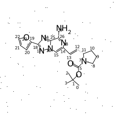 CC(C)(C)OC(=O)N1CCC[C@H]1/C=C/c1cn2nc(-c3ccco3)nc2c(N)n1